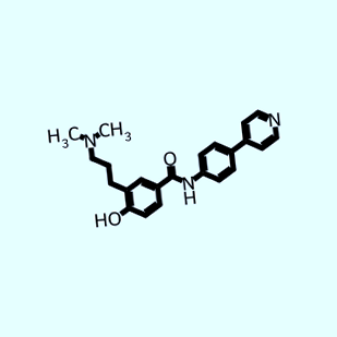 CN(C)CCCc1cc(C(=O)Nc2ccc(-c3ccncc3)cc2)ccc1O